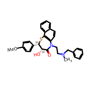 COc1ccc([C@@H]2Sc3c(ccc4ccccc34)N(CCN(C)Cc3ccccc3)C(=O)[C@@H]2O)cc1